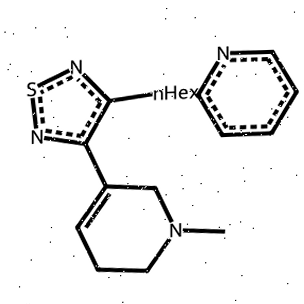 CCCCCCc1nsnc1C1=CCCN(C)C1.c1ccncc1